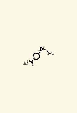 CC(=O)SC[C@@H]1C[C@@H]1C1CCN(C(=O)OC(C)(C)C)CC1